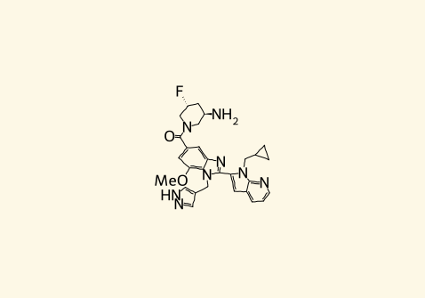 COc1cc(C(=O)N2C[C@H](N)C[C@@H](F)C2)cc2nc(-c3cc4cccnc4n3CC3CC3)n(Cc3cn[nH]c3)c12